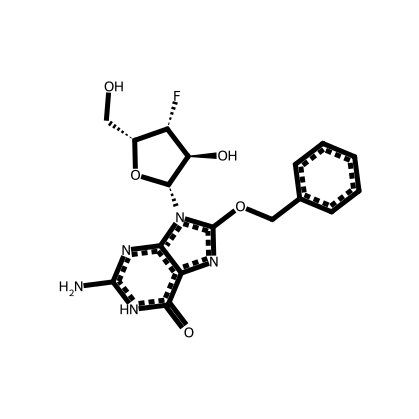 Nc1nc2c(nc(OCc3ccccc3)n2[C@@H]2O[C@H](CO)[C@H](F)[C@H]2O)c(=O)[nH]1